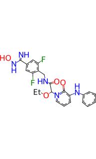 CCOC(C(=O)NCc1c(F)cc(C(=N)NO)cc1F)n1cccc(Nc2ccccc2)c1=O